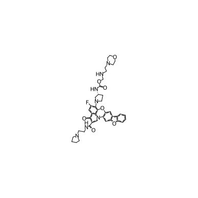 O=C(N[C@@H]1CCN(c2c(F)cc3c(=O)c(C(=O)NCCN4CCCC4)cn4c3c2Oc2cc3c(cc2-4)oc2ccccc23)C1)OCNCCN1CCOCC1